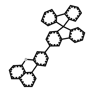 c1ccc2c(c1)-c1ccccc1C21c2ccccc2-c2cc(-c3ccc4c(c3)Oc3cccc5cccc-4c35)ccc21